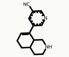 N#Cc1cncc(C2=CCCC3CCNCC23)c1